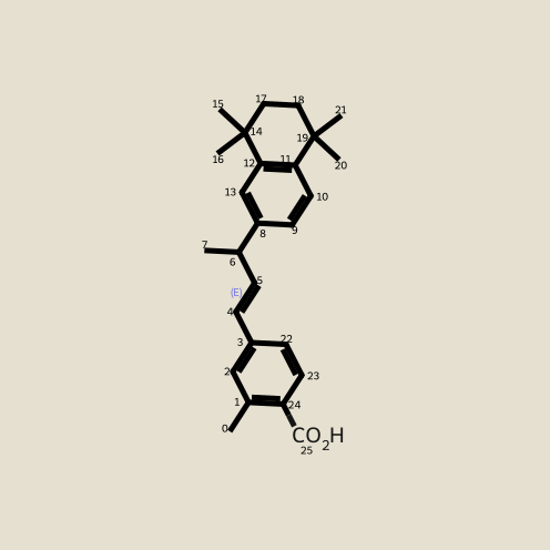 Cc1cc(/C=C/C(C)c2ccc3c(c2)C(C)(C)CCC3(C)C)ccc1C(=O)O